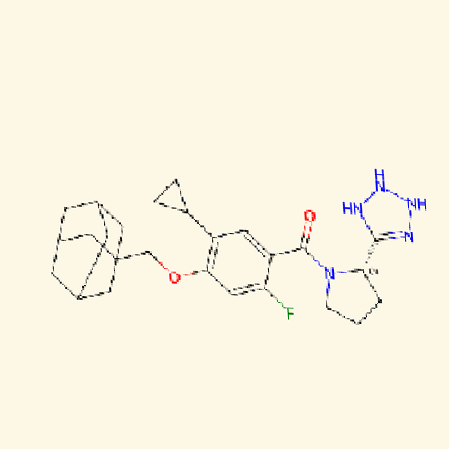 O=C(c1cc(C2CC2)c(OCC23CC4CC(CC(C4)C2)C3)cc1F)N1CCC[C@H]1C1=NNNN1